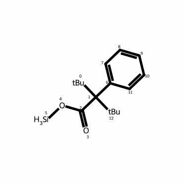 CC(C)(C)C(C(=O)O[SiH3])(c1ccccc1)C(C)(C)C